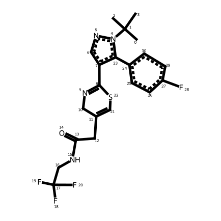 CC(C)(C)n1ncc(C2=NCC(CC(=O)NCC(F)(F)F)=CS2)c1-c1ccc(F)cc1